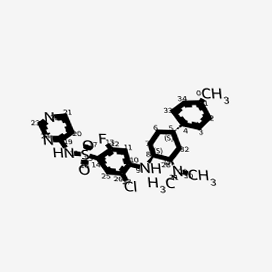 Cc1ccc([C@H]2CC[C@H](Nc3cc(F)c(S(=O)(=O)Nc4ccncn4)cc3Cl)[C@@H](N(C)C)C2)cc1